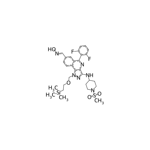 C[Si](C)(C)CCOCn1nc(NC2CCN(S(C)(=O)=O)CC2)c2nc(-c3c(F)cccc3F)c3cc(/C=N/O)ccc3c21